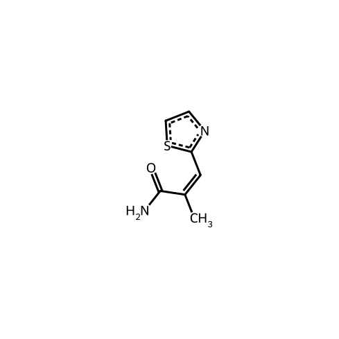 CC(=Cc1nccs1)C(N)=O